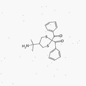 CC(C)(N)C1CSC(C(=O)c2ccccc2)(C(=O)c2ccccc2)SC1